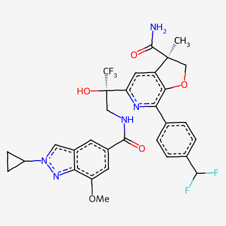 COc1cc(C(=O)NC[C@@](O)(c2cc3c(c(-c4ccc(C(F)F)cc4)n2)OC[C@]3(C)C(N)=O)C(F)(F)F)cc2cn(C3CC3)nc12